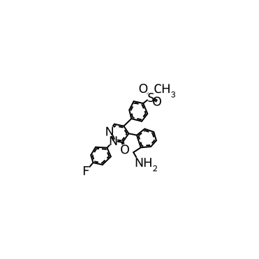 CS(=O)(=O)c1ccc(-c2cnn(-c3ccc(F)cc3)c(=O)c2-c2ccccc2CN)cc1